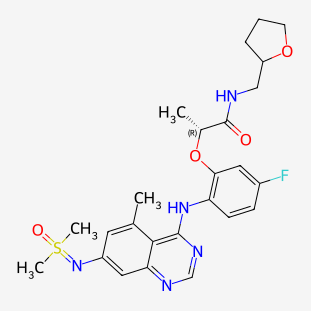 Cc1cc(N=S(C)(C)=O)cc2ncnc(Nc3ccc(F)cc3O[C@H](C)C(=O)NCC3CCCO3)c12